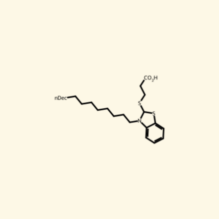 CCCCCCCCCCCCCCCCCCN1c2ccccc2SC1SCCC(=O)O